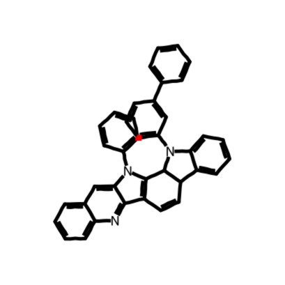 C1=CC2c3ccccc3N(c3cccc(-c4ccccc4)c3)C2c2c1c1nc3ccccc3cc1n2-c1ccccc1